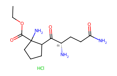 CCOC(=O)C1(N)CCCC1C(=O)[C@@H](N)CCC(N)=O.Cl